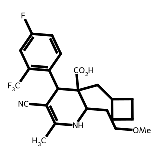 COCCC1NC(C)=C(C#N)C(c2ccc(F)cc2C(F)(F)F)C1(CC1CCC1)C(=O)O